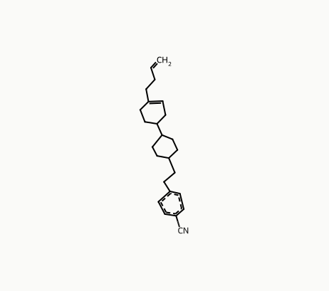 C=CCCC1=CCC(C2CCC(CCc3ccc(C#N)cc3)CC2)CC1